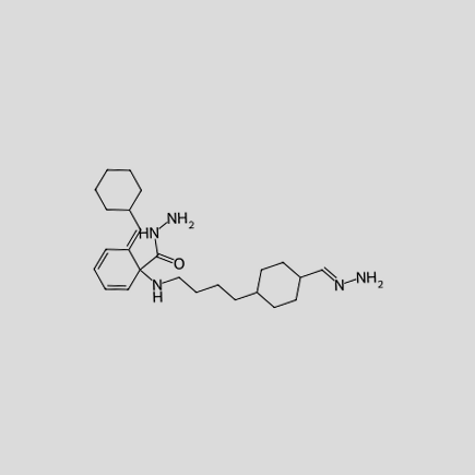 NN=CC1CCC(CCCCNC2(C(=O)NN)C=CC=CC2=CC2CCCCC2)CC1